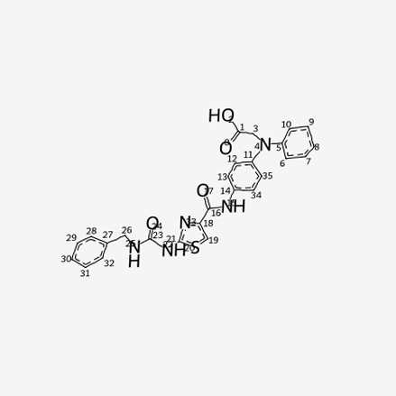 O=C(O)CN(c1ccccc1)c1ccc(NC(=O)c2csc(NC(=O)NCc3ccccc3)n2)cc1